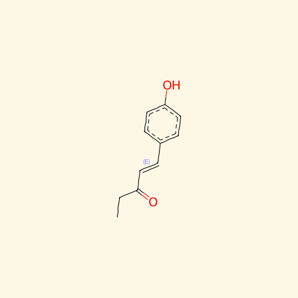 CCC(=O)/C=C/c1ccc(O)cc1